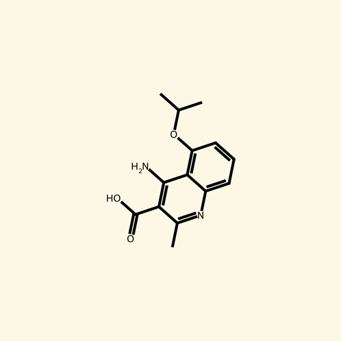 Cc1nc2cccc(OC(C)C)c2c(N)c1C(=O)O